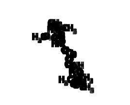 CC[C@H](C)C(NC(=O)OC)C(=O)N1C[C@@H](COC)C[C@H]1c1ncc(-c2ccc3c(c2)COc2cc4c(ccc5nc([C@@H]6CC[C@H](C)N6C(=O)[C@@H](NC(=O)OC)C(C)C)[nH]c54)cc2-3)[nH]1